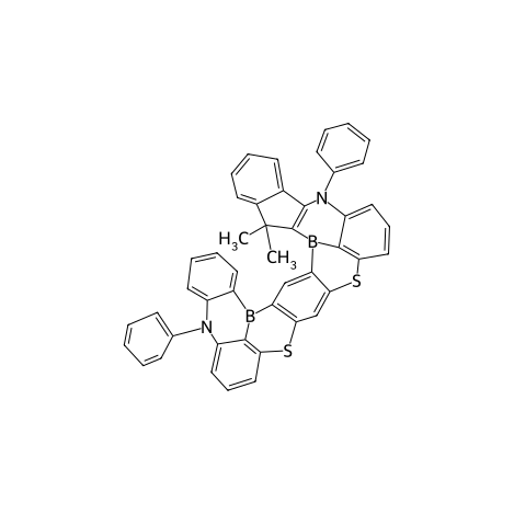 CC1(C)C2=C(c3ccccc31)N(c1ccccc1)c1cccc3c1B2c1cc2c(cc1S3)Sc1cccc3c1B2c1ccccc1N3c1ccccc1